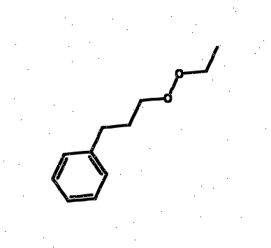 CCOOCCCc1ccccc1